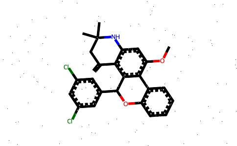 C=C1CC(C)(C)Nc2cc(OC)c3c(c21)C(c1cc(Cl)cc(Cl)c1)Oc1ccccc1-3